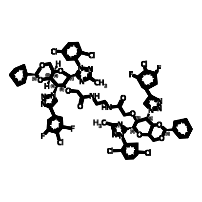 Cc1nc([C@H]2OC3CO[C@H](c4ccccc4)OC3[C@@H](n3cc(-c4cc(F)c(Cl)c(F)c4)nn3)[C@@H]2OCC(=O)NCCNC(=O)CO[C@@H]2[C@@H](n3cc(-c4cc(F)c(Cl)c(F)c4)nn3)[C@H]3O[C@@H](c4ccccc4)OC[C@H]3O[C@H]2c2nc(C)nn2-c2cc(Cl)ccc2Cl)n(-c2cc(Cl)ccc2Cl)n1